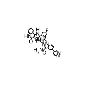 Cc1c(NC(=O)C2CC(F)CN2C(O)Cn2nc(C(N)=O)c3cc(-c4ccnnc4)ccc32)c2ccccc2[nH]c1=O